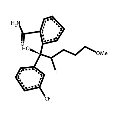 COCCCC(I)[C@](O)(c1cccc(C(F)(F)F)c1)c1ccccc1C(N)=O